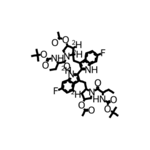 [2H]c1cc(F)cc2c1c(CC1CC(OC(C)=O)CN1C(=O)C(CC)NC(=O)OC(C)(C)C)c(-c1[nH]c3cc(F)ccc3c1CC1([2H])C([2H])C(OC(C)=O)CN1C(=O)C(CC)NC(=O)OC(C)(C)C)n2[2H]